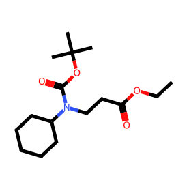 CCOC(=O)CCN(C(=O)OC(C)(C)C)C1CCCCC1